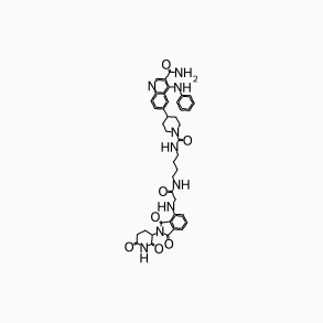 NC(=O)c1cnc2ccc(C3CCN(C(=O)NCCCCNC(=O)CNc4cccc5c4C(=O)N(C4CCC(=O)NC4=O)C5=O)CC3)cc2c1Nc1ccccc1